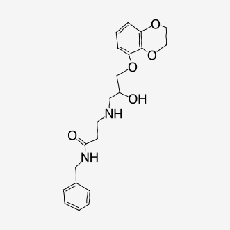 O=C(CCNCC(O)COc1cccc2c1OCCO2)NCc1ccccc1